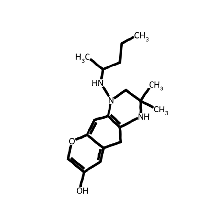 CCCC(C)NN1CC(C)(C)NC2=C1C=C1OC=C(O)C=C1C2